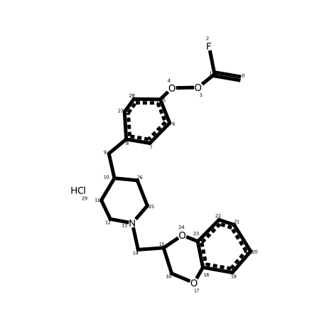 C=C(F)OOc1ccc(CC2CCN(CC3COc4ccccc4O3)CC2)cc1.Cl